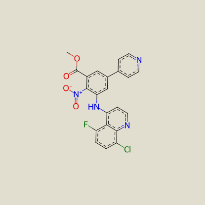 COC(=O)c1cc(-c2ccncc2)cc(Nc2ccnc3c(Cl)ccc(F)c23)c1[N+](=O)[O-]